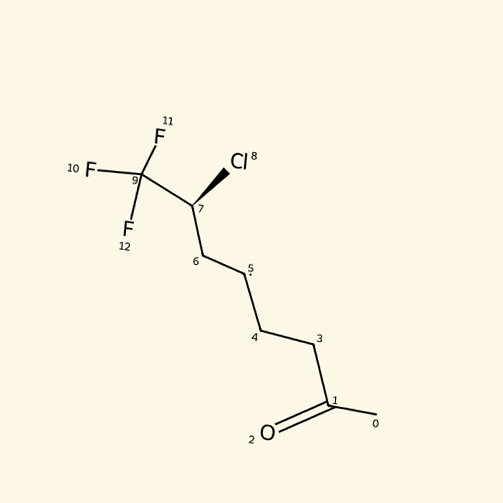 CC(=O)CC[CH]C[C@H](Cl)C(F)(F)F